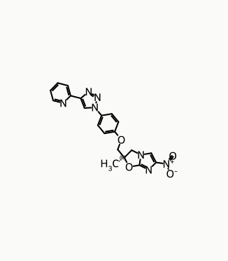 C[C@]1(COc2ccc(-n3cc(-c4ccccn4)nn3)cc2)Cn2cc([N+](=O)[O-])nc2O1